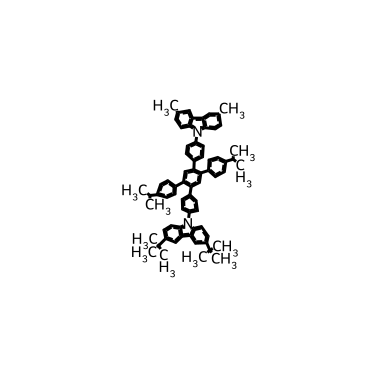 Cc1ccc2c(c1)c1cc(C)ccc1n2-c1ccc(-c2cc(-c3ccc(C(C)C)cc3)c(-c3ccc(-n4c5ccc(C(C)(C)C)cc5c5cc(C(C)(C)C)ccc54)cc3)cc2-c2ccc(C(C)C)cc2)cc1